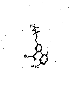 COc1ccc(F)c(-c2ccc(CCC(C)(C)[Si](C)(C)O)cc2C(F)C(C)(C)C)c1